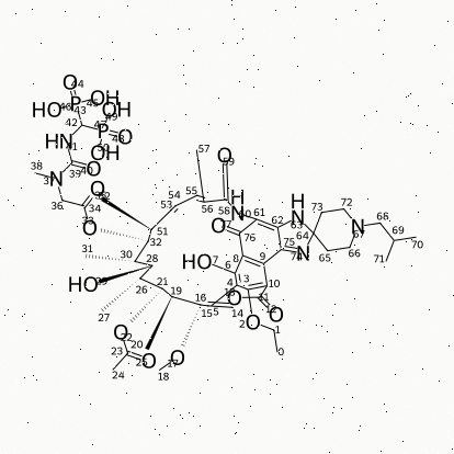 CCOc1c(C)c(O)c2c3c1C(=O)O/C=C/[C@H](OC)[C@@H](C)[C@@H](OC(C)=O)[C@H](C)[C@H](O)[C@H](C)[C@@H](OC(=O)CN(C)C(=O)NC(P(=O)(O)O)P(=O)(O)O)[C@@H](C)/C=C/C=C(/C)C(=O)NC(=C1NC4(CCN(CC(C)C)CC4)N=C13)C2=O